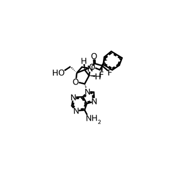 Nc1ncnc2c1ncn2[C@@H]1O[C@@]2(CO)CN(C(=O)C(F)(F)F)[C@H]1[C@H]2OCc1ccccc1